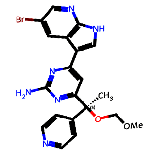 COCO[C@@](C)(c1ccncc1)c1cc(-c2c[nH]c3ncc(Br)cc23)nc(N)n1